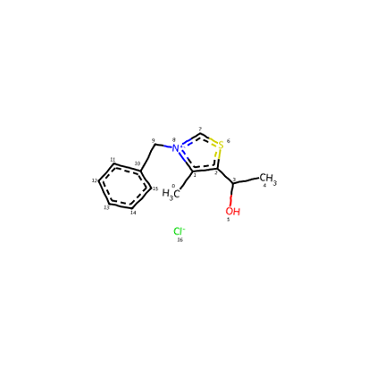 Cc1c(C(C)O)sc[n+]1Cc1ccccc1.[Cl-]